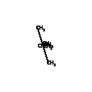 CCCCCCCCCCCCCCC(CCCCCCCCCCCCCC)[N+](C)(C)C.[Cl-]